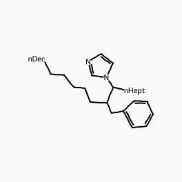 CCCCCCCCCCCCCCCC(Cc1ccccc1)C(CCCCCCC)n1ccnc1